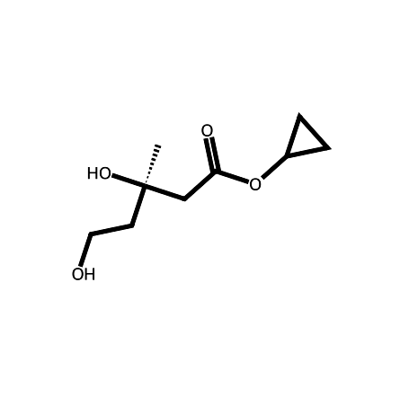 C[C@@](O)(CCO)CC(=O)OC1CC1